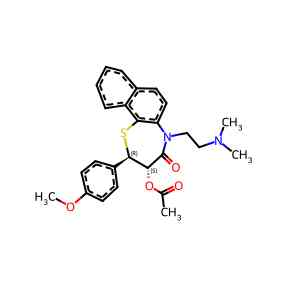 COc1ccc([C@H]2Sc3c(ccc4ccccc34)N(CCN(C)C)C(=O)[C@@H]2OC(C)=O)cc1